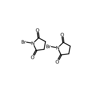 O=C1CCC(=O)N1Br.O=C1CCC(=O)N1Br